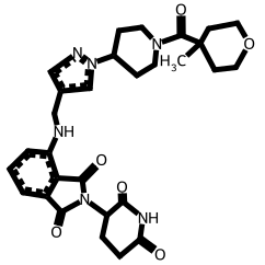 CC1(C(=O)N2CCC(n3cc(CNc4cccc5c4C(=O)N(C4CCC(=O)NC4=O)C5=O)cn3)CC2)CCOCC1